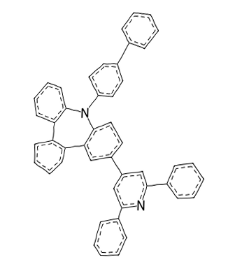 c1ccc(-c2ccc(N3c4ccccc4-c4ccccc4-c4cc(-c5cc(-c6ccccc6)nc(-c6ccccc6)c5)ccc43)cc2)cc1